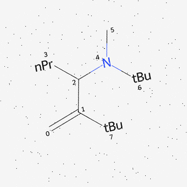 C=C(C(CCC)N(C)C(C)(C)C)C(C)(C)C